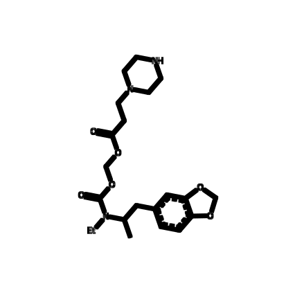 CCN(C(=O)OCOC(=O)CCN1CCNCC1)C(C)Cc1ccc2c(c1)OCO2